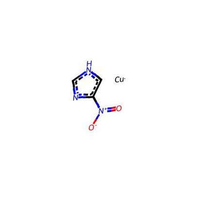 O=[N+]([O-])c1c[nH]cn1.[Cu]